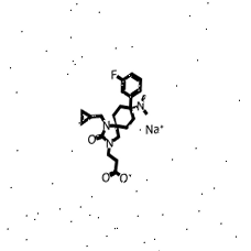 CN(C)[C@]1(c2cccc(F)c2)CC[C@@]2(CC1)CN(CCC(=O)[O-])C(=O)N2CC1CC1.[Na+]